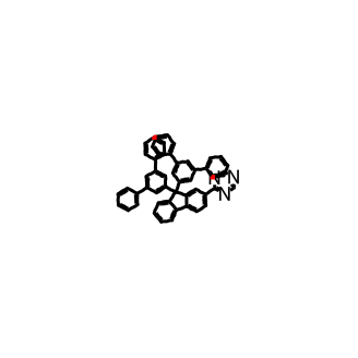 c1ccc(-c2cc(-c3ccccc3)cc(C3(c4cc(-c5ccccc5)cc(-c5ccccc5)c4)c4ccccc4-c4ccc(-c5ncncn5)cc43)c2)cc1